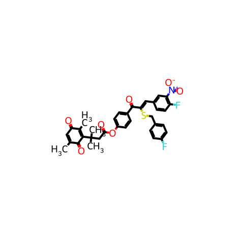 CC1=CC(=O)C(C)=C(C(C)(C)CC(=O)Oc2ccc(C(=O)C(=Cc3ccc(F)c([N+](=O)[O-])c3)SCc3ccc(F)cc3)cc2)C1=O